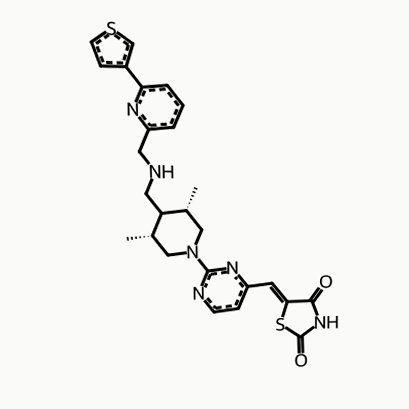 C[C@@H]1CN(c2nccc(/C=C3\SC(=O)NC3=O)n2)C[C@H](C)C1CNCc1cccc(-c2ccsc2)n1